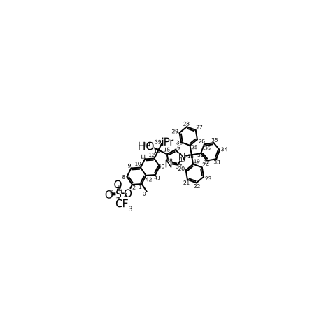 Cc1c(OS(=O)(=O)C(F)(F)F)ccc2cc(C(O)(c3cn(C(c4ccccc4)(c4ccccc4)c4ccccc4)cn3)C(C)C)ccc12